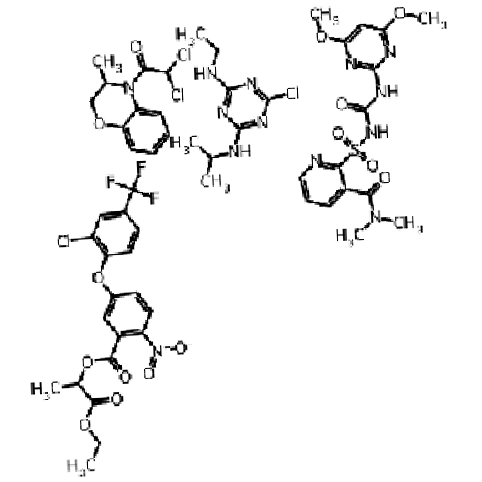 CC1COc2ccccc2N1C(=O)C(Cl)Cl.CCNc1nc(Cl)nc(NC(C)C)n1.CCOC(=O)C(C)OC(=O)c1cc(Oc2ccc(C(F)(F)F)cc2Cl)ccc1[N+](=O)[O-].COc1cc(OC)nc(NC(=O)NS(=O)(=O)c2ncccc2C(=O)N(C)C)n1